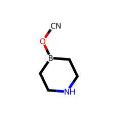 N#COB1CCNCC1